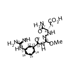 COC(=NN[C@@H](CC(=O)O)C(N)=O)NC(=O)c1cccc(NC(=N)N)c1